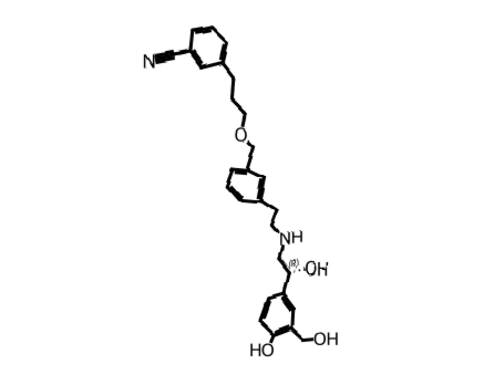 N#Cc1cccc(CCCOCc2cccc(CCNC[C@H](O)c3ccc(O)c(CO)c3)c2)c1